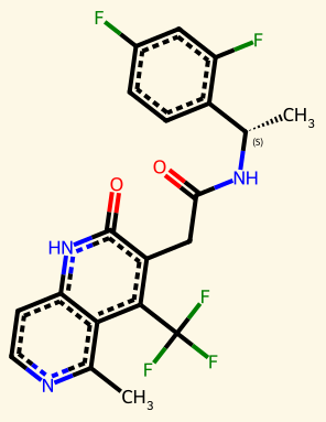 Cc1nccc2[nH]c(=O)c(CC(=O)N[C@@H](C)c3ccc(F)cc3F)c(C(F)(F)F)c12